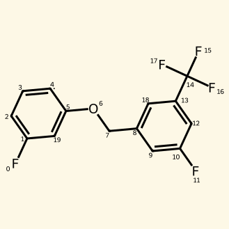 Fc1cc[c]c(OCc2cc(F)cc(C(F)(F)F)c2)c1